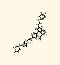 CC/C=C\C(CC)=N/NC1CC(CNc2ccc(-c3cc(CCCC4CCN(C)CC4)cn4ncc(C#N)c34)cn2)C1